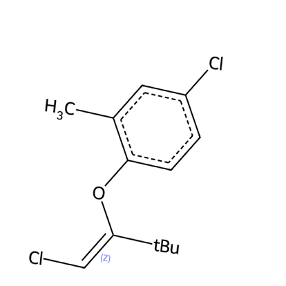 Cc1cc(Cl)ccc1O/C(=C\Cl)C(C)(C)C